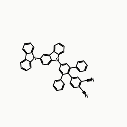 N#Cc1ccc(-c2c(-c3ccccc3)cc(-n3c4ccccc4c4cc(-n5c6ccccc6c6ccccc65)ccc43)cc2-c2ccccc2)cc1C#N